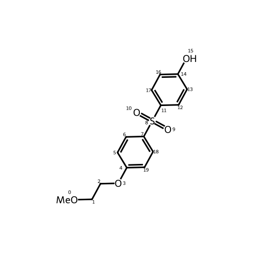 COCCOc1ccc(S(=O)(=O)c2ccc(O)cc2)cc1